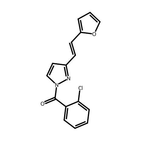 O=C(c1ccccc1Cl)n1ccc(/C=C/c2ccco2)n1